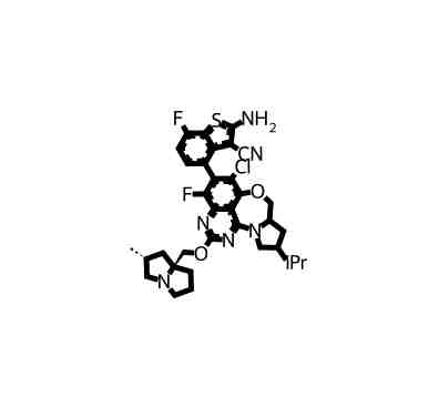 CC(C)C1CC2COc3c(Cl)c(-c4ccc(F)c5sc(N)c(C#N)c45)c(F)c4nc(OC[C@@]56CCCN5C[C@H](C)C6)nc(c34)N2C1